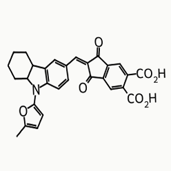 Cc1ccc(N2c3ccc(C=C4C(=O)c5cc(C(=O)O)c(C(=O)O)cc5C4=O)cc3C3CCCCC32)o1